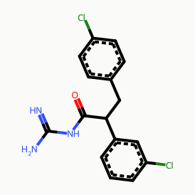 N=C(N)NC(=O)C(Cc1ccc(Cl)cc1)c1cccc(Cl)c1